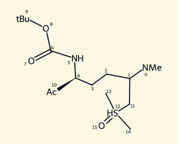 CNC(CC[C@H](NC(=O)OC(C)(C)C)C(C)=O)C[SH](C)(C)=O